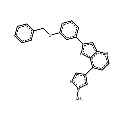 Cn1cc(-c2ccnc3cc(-c4cccc(OCc5ccccc5)c4)oc23)cn1